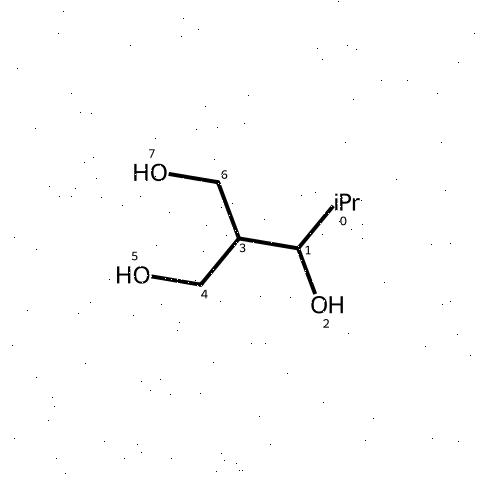 CC(C)C(O)C(CO)CO